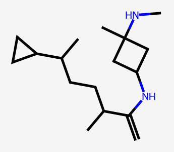 C=C(NC1CC(C)(NC)C1)C(C)CCC(C)C1CC1